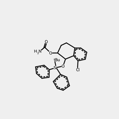 CC(C)(C)[Si](OC1c2c(Cl)cccc2CCC1OC(N)=O)(c1ccccc1)c1ccccc1